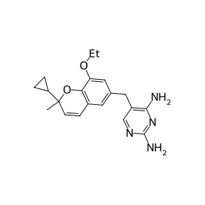 CCOc1cc(Cc2cnc(N)nc2N)cc2c1OC(C)(C1CC1)C=C2